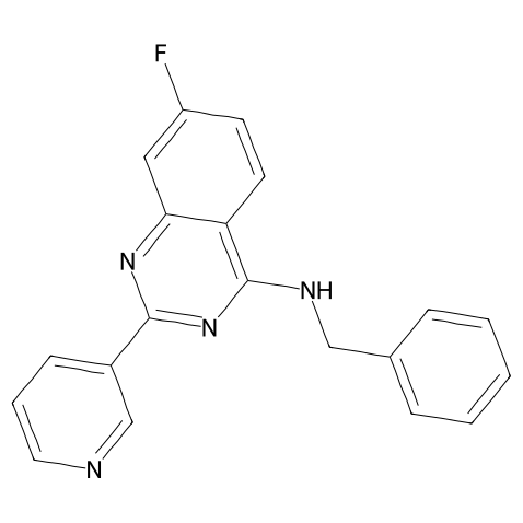 Fc1ccc2c(NCc3ccccc3)nc(-c3cccnc3)nc2c1